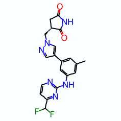 Cc1cc(Nc2nccc(C(F)F)n2)cc(-c2cnn(C[C@H]3CC(=O)NC3=O)c2)c1